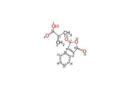 C=C(C)C(=O)O.O=C1C=CC(=O)O1.c1ccccc1